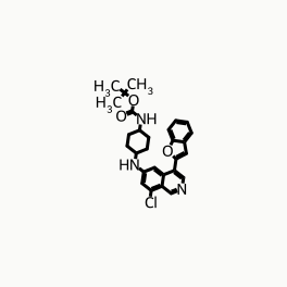 CC(C)(C)OC(=O)NC1CCC(Nc2cc(Cl)c3cncc(-c4cc5ccccc5o4)c3c2)CC1